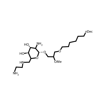 CCCCCCCCCCCCCCCCOCC(CO[C@@H]1OC(CNCCN)[C@@H](O)[C@H](O)C1N)OC